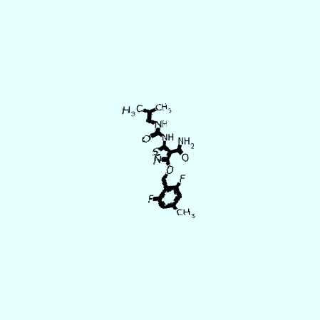 Cc1cc(F)c(COc2nsc(NC(=O)NCC(C)C)c2C(N)=O)c(F)c1